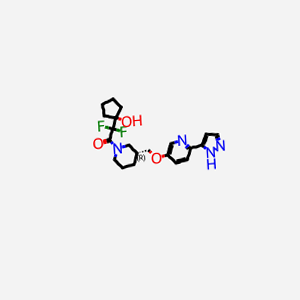 O=C(N1CCC[C@@H](COc2ccc(-c3ccn[nH]3)nc2)C1)C(F)(F)C1(O)CCCC1